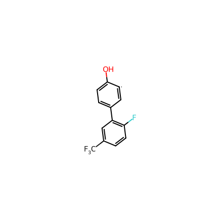 Oc1[c]cc(-c2cc(C(F)(F)F)ccc2F)cc1